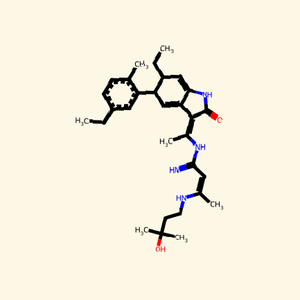 CCc1ccc(C)c(C2C=C3C(=CC2CC)NC(=O)/C3=C(/C)NC(=N)/C=C(/C)NCCC(C)(C)O)c1